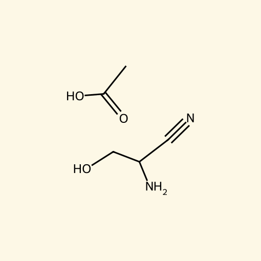 CC(=O)O.N#CC(N)CO